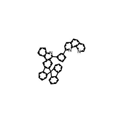 c1cc(-c2ccc3ccc4cccnc4c3n2)cc(-c2nc3ccccc3c3cc4c(cc23)C2(c3ccccc3-c3ccccc32)c2ccccc2-4)c1